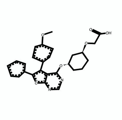 COc1ccc(-c2c(-c3ccccc3)oc3ncnc(O[C@H]4CCC[C@H](OCC(=O)O)C4)c23)cc1